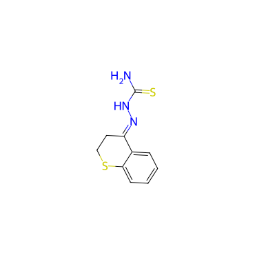 NC(=S)NN=C1CCSc2ccccc21